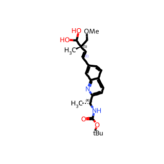 COC[C@](C)(/C=C/c1ccc2ccc([C@@H](C)NC(=O)OC(C)(C)C)nc2c1)C(O)O